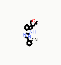 CC1(C)CC(CCNc2cncc(-c3ccccc3C#N)n2)(c2ccccc2)CCO1